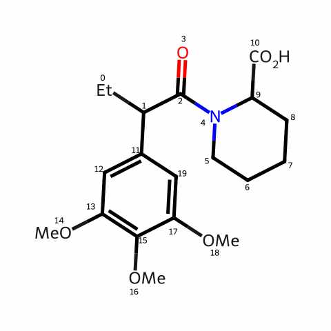 CCC(C(=O)N1CCCCC1C(=O)O)c1cc(OC)c(OC)c(OC)c1